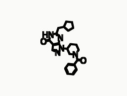 O=C(c1ccccc1)N1CCCC(n2ncc3c(=O)[nH]c(CC4CCCC4)nc32)C1